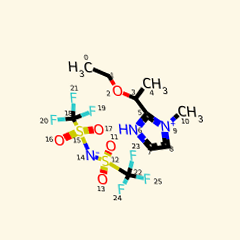 CCOC(C)c1[nH]cc[n+]1C.O=S(=O)([N-]S(=O)(=O)C(F)(F)F)C(F)(F)F